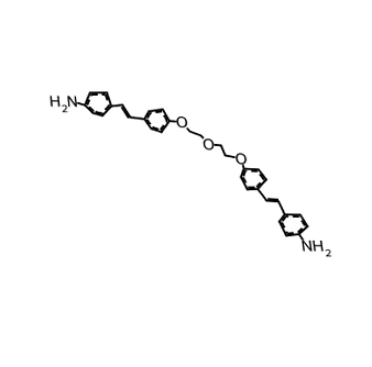 Nc1ccc(/C=C/c2ccc(OCCOCCOc3ccc(/C=C/c4ccc(N)cc4)cc3)cc2)cc1